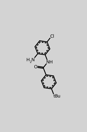 CC(C)(C)c1ccc(C(=O)Nc2cc(Cl)ccc2N)cc1